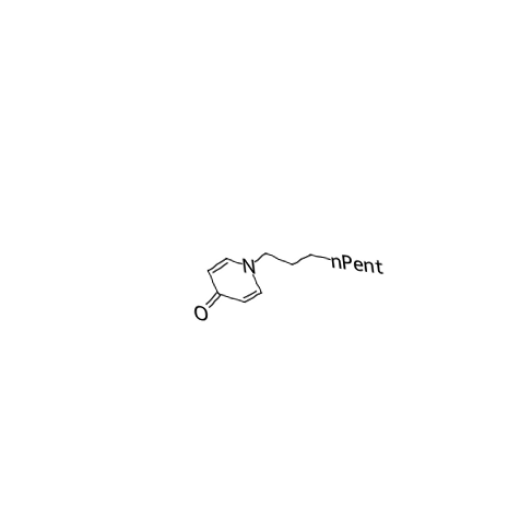 CCCCCCCCn1ccc(=O)cc1